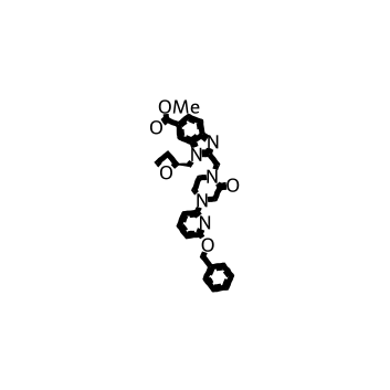 COC(=O)c1ccc2nc(CN3CCN(c4cccc(OCc5ccccc5)n4)CC3=O)n(C[C@@H]3CCO3)c2c1